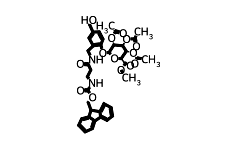 COC(=O)[C@H]1OC(Oc2ccc(CO)cc2CNC(=O)CCNC(=O)OCC2c3ccccc3-c3ccccc32)[C@H](OC(C)=O)[C@@H](OC(C)=O)[C@@H]1OC(C)=O